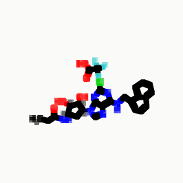 CCC(=O)N[C@H]1C[C@@H](n2cnc3c(NCc4cccc5ccccc45)nc(Cl)nc32)[C@H](O)[C@@H]1O.O=C(O)C(F)(F)F